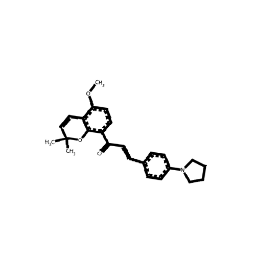 COc1ccc(C(=O)C=Cc2ccc(N3CCCC3)cc2)c2c1C=CC(C)(C)O2